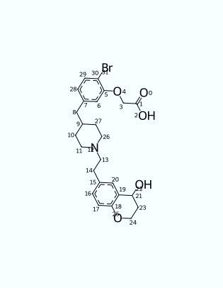 O=C(O)COc1cc(CC2CCN(CCc3ccc4c(c3)C(O)CCO4)CC2)ccc1Br